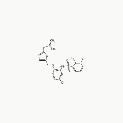 CN(C)Cc1ccc(COc2ncc(Cl)nc2NS(=O)(=O)c2cccc(Cl)c2Cl)o1